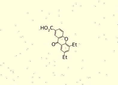 CCc1cc(CC)c2oc3ccc(C(=O)O)cc3c(=O)c2c1